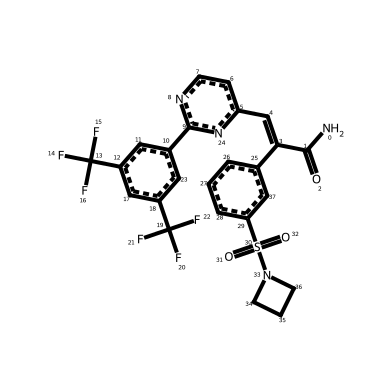 NC(=O)/C(=C/c1ccnc(-c2cc(C(F)(F)F)cc(C(F)(F)F)c2)n1)c1cccc(S(=O)(=O)N2CCC2)c1